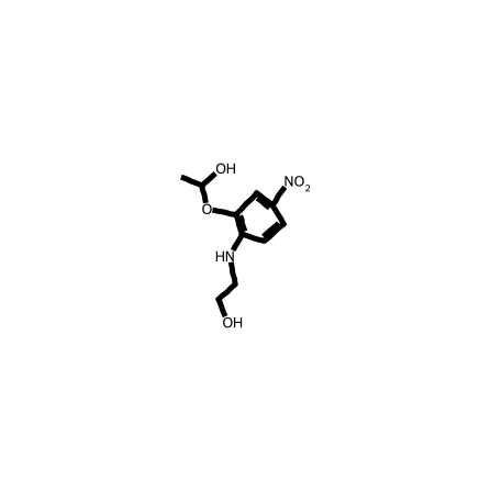 CC(O)Oc1cc([N+](=O)[O-])ccc1NCCO